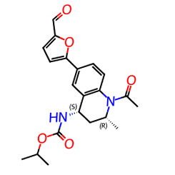 CC(=O)N1c2ccc(-c3ccc(C=O)o3)cc2[C@@H](NC(=O)OC(C)C)C[C@H]1C